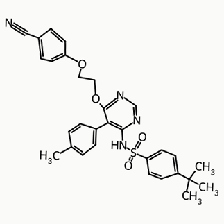 Cc1ccc(-c2c(NS(=O)(=O)c3ccc(C(C)(C)C)cc3)ncnc2OCCOc2ccc(C#N)cc2)cc1